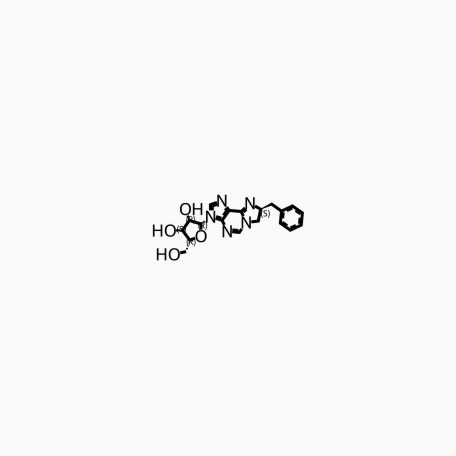 OC[C@H]1O[C@@H](n2cnc3c2N=CN2C[C@H](Cc4ccccc4)N=C32)[C@H](O)[C@@H]1O